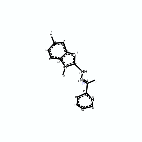 C/C(=N\Nc1nc2cc(F)ccc2n1C)c1ccccn1